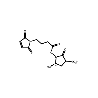 O=C(CCCN1C(=O)C=CC1=O)ON1C(=O)C(S(=O)(=O)O)C[C@H]1O